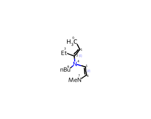 C/C=C(\CC)N(/C=C\NC)CCCC